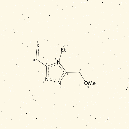 CCn1c(C=S)nnc1COC